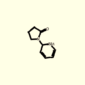 O=C1CCCN1C1C=CC=[C]N1